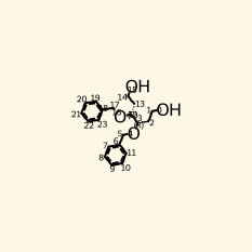 OCC[C@@H](OCc1ccccc1)[C@@H](CCO)OCc1ccccc1